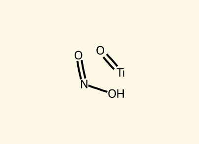 O=NO.[O]=[Ti]